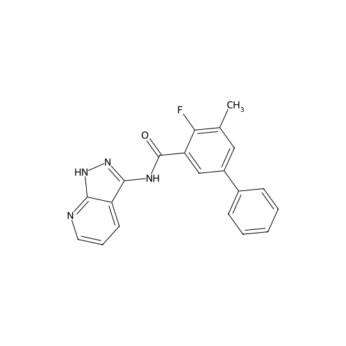 Cc1cc(-c2ccccc2)cc(C(=O)Nc2n[nH]c3ncccc23)c1F